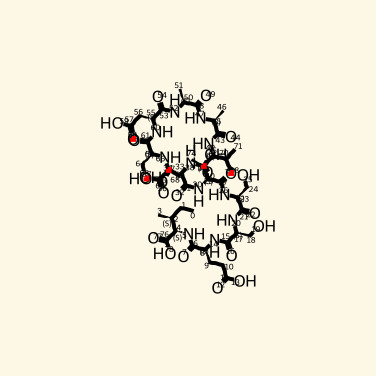 CC[C@H](C)[C@H](NC(=O)[C@H](CCC(=O)O)NC(=O)[C@H](CO)NC(=O)[C@H](CO)NC(=O)[C@@H](NC(=O)[C@H](CC(=O)O)NC(=O)[C@@H](NC(=O)[C@H](C)NC(=O)[C@H](C)NC(=O)[C@H](CC(=O)O)NC(=O)[C@H](CO)NC(C)=O)C(C)C)[C@@H](C)O)C(=O)O